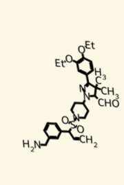 C=CC(c1cccc(CN)c1)S(=O)(=O)N1CCC(N2N=C(c3ccc(OCC)c(OCC)c3)C(C)(C)C2C=O)CC1